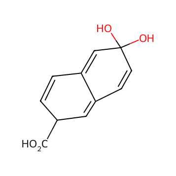 O=C(O)C1C=CC2=CC(O)(O)C=CC2=C1